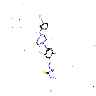 NC(=S)NN=Cc1cc(F)c(N2CCN(Cc3cccc(F)c3)CC2)cc1F